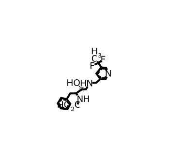 CC(F)(F)c1cncc(CNC[C@@H](O)C(Cc2ccccc2)NC(=O)O)c1